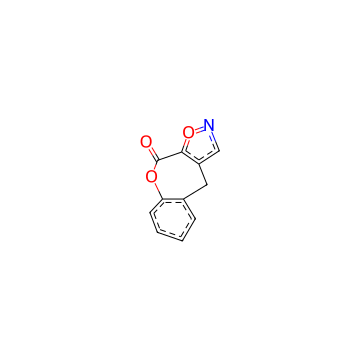 O=C1Oc2ccccc2Cc2cnoc21